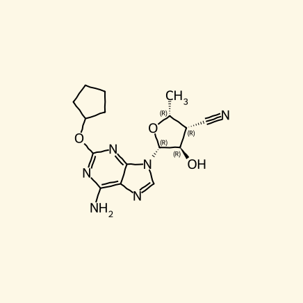 C[C@H]1O[C@@H](n2cnc3c(N)nc(OC4CCCC4)nc32)[C@H](O)[C@H]1C#N